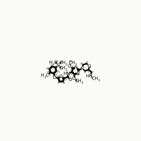 CNCC1CN(c2nc(OC)c(NC(=O)c3ccc(Oc4cc([Si](C)(C)C)ccc4C)o3)c(OC)n2)CCO1